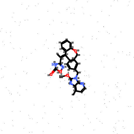 CCOc1nc2c(C)ccnc2n1Cc1ccc2c(c1)COc1ccccc1C2=C(C)c1noc(=O)[nH]1